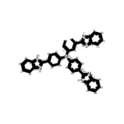 C/C=C(\C=C(/C)c1nc2ccccc2s1)N(C1=CC=C(c2nc3c(s2)C=C=C=C3)CC1)c1ccc(-c2nc3ccccc3s2)cc1